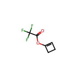 O=C(OC1=CCC1)C(F)(F)F